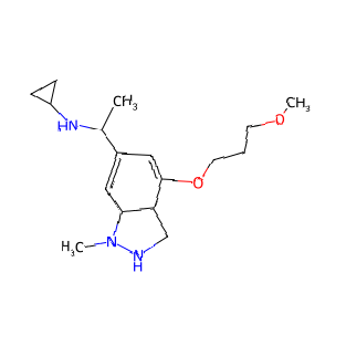 COCCCOC1=CC(C(C)NC2CC2)=CC2C1CNN2C